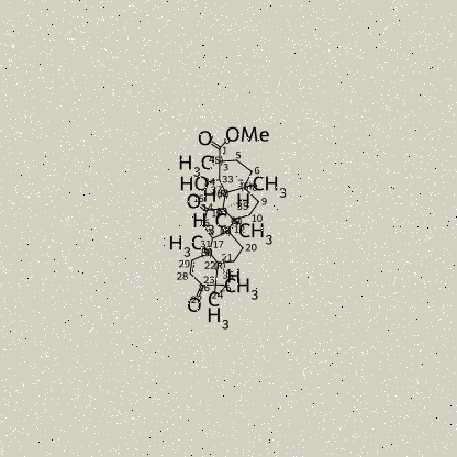 COC(=O)[C@@]1(C)CC[C@]2(C)CC[C@@]3(C)[C@@H](C(=O)C=C4[C@]3(C)CC[C@H]3C(C)(C)C(=O)C=C[C@]43C)[C@H]2C1O